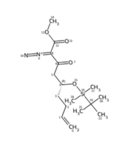 C=CCC[C@H](CC(=O)C(=[N+]=[N-])C(=O)OC)O[Si](C)(C)C(C)(C)C